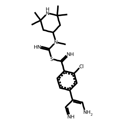 CN(C(=N)SC(=N)c1ccc(/C(C=N)=C/N)cc1Cl)C1CC(C)(C)NC(C)(C)C1